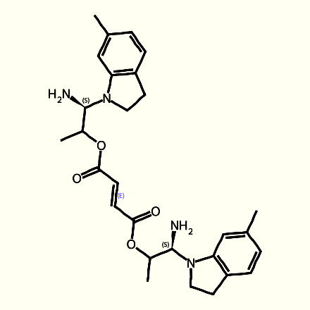 Cc1ccc2c(c1)N([C@H](N)C(C)OC(=O)/C=C/C(=O)OC(C)[C@@H](N)N1CCc3ccc(C)cc31)CC2